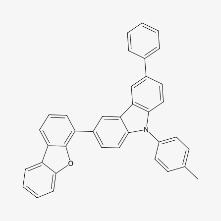 Cc1ccc(-n2c3ccc(-c4ccccc4)cc3c3cc(-c4cccc5c4oc4ccccc45)ccc32)cc1